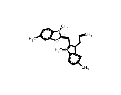 C=CCC1C(/C=C2\Oc3cc(C)ccc3N2C)=[N+](C)c2ccc(C)cc21